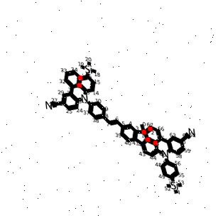 CC1(C)c2cc(/C=C/c3ccc(N(c4ccc([Si](C)(C)C)cc4)c4ccc(C#N)cc4-c4ccccc4)cc3)ccc2-c2ccc(N(c3ccc([Si](C)(C)C)cc3)c3ccc(C#N)cc3-c3ccccc3)cc21